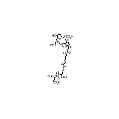 O=C(O)CCc1ccc(O)c(CN(CCN(CC(=O)O)Cc2nc(CCC(=O)NCCCCCC(=O)NCCCC[C@H](NC(=O)N[C@@H](CCC(=O)O)C(=O)O)C(=O)O)ccc2O)CC(=O)O)n1